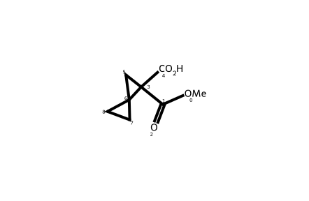 COC(=O)C1(C(=O)O)CC12CC2